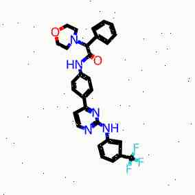 O=C(Nc1ccc(-c2ccnc(Nc3cccc(C(F)(F)F)c3)n2)cc1)C(c1ccccc1)N1CCOCC1